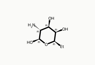 CC[C@H]1O[C@@H](O)[C@H](N)[C@@H](O)[C@H]1O